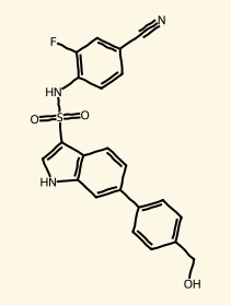 N#Cc1ccc(NS(=O)(=O)c2c[nH]c3cc(-c4ccc(CO)cc4)ccc23)c(F)c1